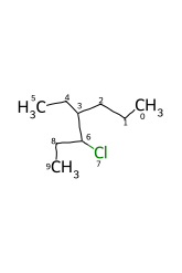 CCCC(CC)C(Cl)CC